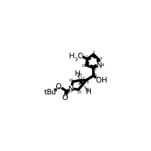 Cc1ccnc(C(O)C2[C@H]3CN(C(=O)OC(C)(C)C)C[C@@H]23)c1